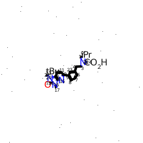 CC(C)CN(CCc1cccc(-c2ccc3c(n2)n(C)c(=O)n3CC(C)(C)C)c1)C(=O)O